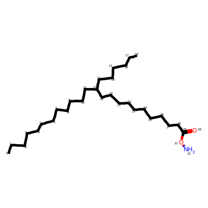 CCCCCCCCCCCCC(CCCCCC)CCCCCCCCCCC(=O)ON